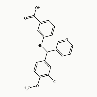 COc1ccc(C(Nc2cccc(C(=O)O)c2)c2cccnc2)cc1Cl